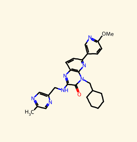 COc1ccc(-c2ccc3nc(NCc4cnc(C)cn4)c(=O)n(CC4CCCCC4)c3n2)cn1